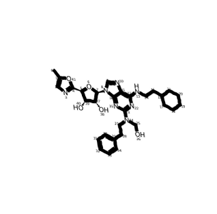 Cc1cnc([C@H]2O[C@@H](n3cnc4c(NCCC5CCCCC5)nc(N(CO)CCc5ccccc5)nc43)[C@H](O)[C@@H]2O)o1